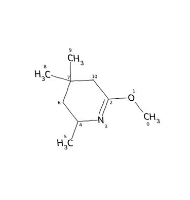 COC1=NC(C)CC(C)(C)C1